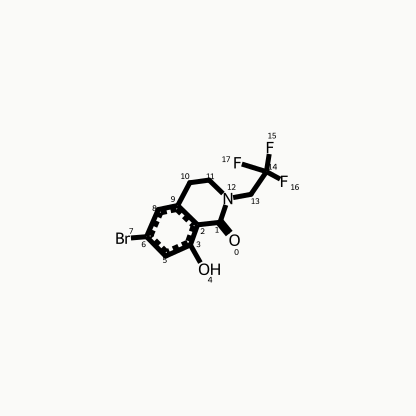 O=C1c2c(O)cc(Br)cc2CCN1CC(F)(F)F